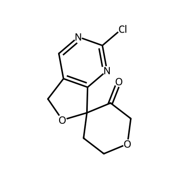 O=C1COCCC12OCc1cnc(Cl)nc12